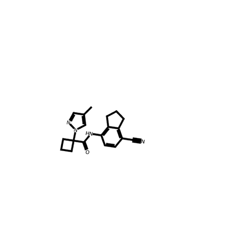 Cc1cnn(C2(C(=O)Nc3ccc(C#N)c4c3CCC4)CCC2)c1